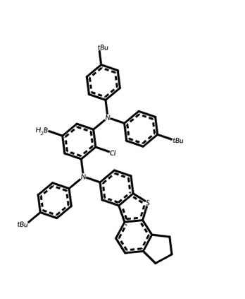 Bc1cc(N(c2ccc(C(C)(C)C)cc2)c2ccc(C(C)(C)C)cc2)c(Cl)c(N(c2ccc(C(C)(C)C)cc2)c2ccc3sc4c5c(ccc4c3c2)CCC5)c1